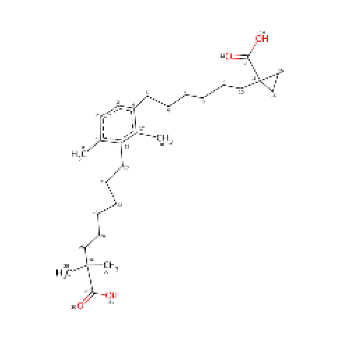 Cc1ccc(CCCCCCC2(C(=O)O)CC2)c(C)c1CCCCCCC(C)(C)C(=O)O